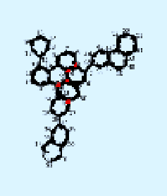 c1ccc(-c2ccccc2-c2c(-c3ccccc3)cccc2N(c2ccc(-c3ccc4ccccc4c3)cc2)c2ccc(-c3ccc4c(ccc5ccccc54)c3)cc2)cc1